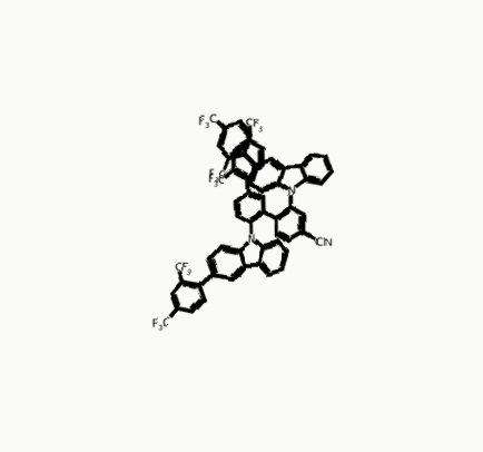 N#Cc1ccc(-c2cc(-c3ccc(C(F)(F)F)cc3C(F)(F)F)ccc2-n2c3ccccc3c3cc(-c4ccc(C(F)(F)F)cc4C(F)(F)F)ccc32)c(-n2c3ccccc3c3cc(-c4ccc(C(F)(F)F)cc4C(F)(F)F)ccc32)c1